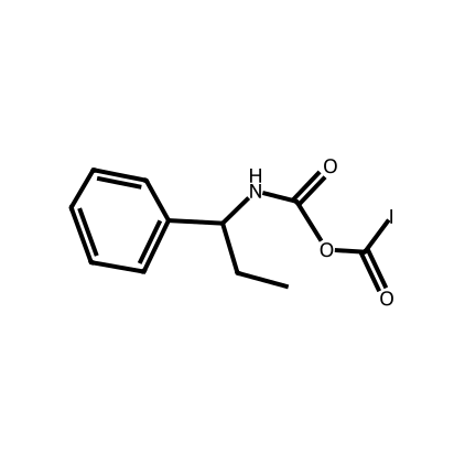 CCC(NC(=O)OC(=O)I)c1ccccc1